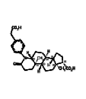 C[C@]12CC[C@H]3[C@@H](CC[C@H]4N(c5ccc(CC(=O)O)cc5)C(=O)CC[C@]34C)[C@@H]1CC[C@@H]2C(=O)O